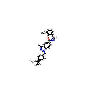 Cc1nn(Cc2ccc(C3(C(=O)O)CC3)cc2)c2ccc(C(=O)N[C@@H](C)c3cccc(C(C)C)c3)cc12